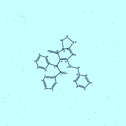 O=C(c1ccccc1)N(c1ccccc1)c1c(OCc2ccccc2)nc2n(c1=O)CCS2